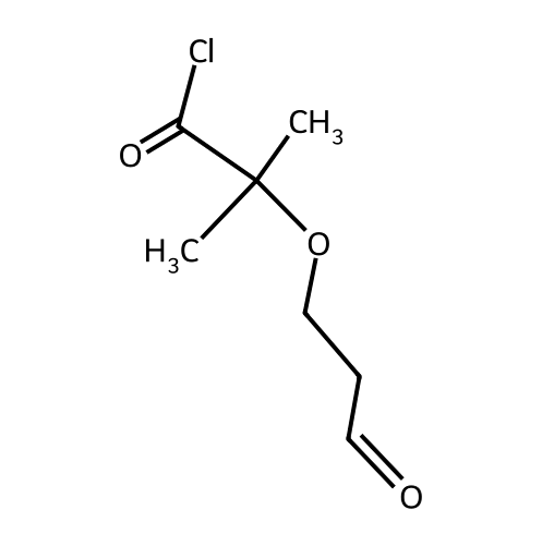 CC(C)(OCCC=O)C(=O)Cl